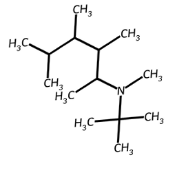 CC(C)C(C)C(C)C(C)N(C)C(C)(C)C